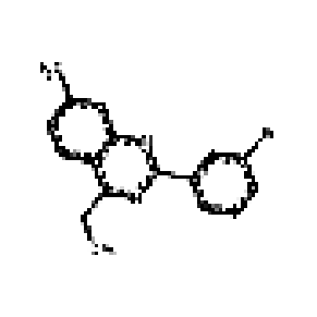 CC(=O)OCc1nc(-c2cccc(Br)c2)nc2cc(C(F)(F)F)ccc12